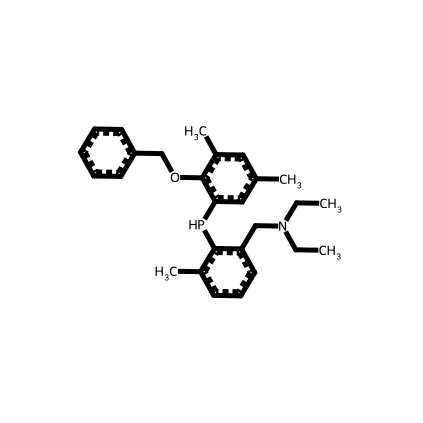 CCN(CC)Cc1cccc(C)c1Pc1cc(C)cc(C)c1OCc1ccccc1